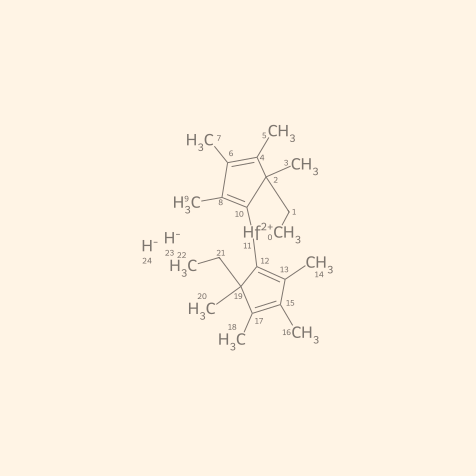 CCC1(C)C(C)=C(C)C(C)=[C]1[Hf+2][C]1=C(C)C(C)=C(C)C1(C)CC.[H-].[H-]